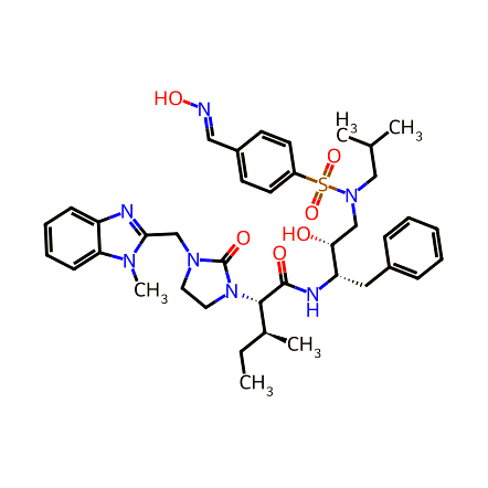 CC[C@H](C)[C@@H](C(=O)N[C@@H](Cc1ccccc1)[C@H](O)CN(CC(C)C)S(=O)(=O)c1ccc(/C=N/O)cc1)N1CCN(Cc2nc3ccccc3n2C)C1=O